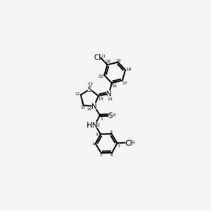 S=C(Nc1cccc(Cl)c1)N1CCSC1=Nc1cccc(Cl)c1